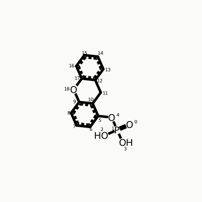 O=P(O)(O)Oc1cccc2c1Cc1ccccc1O2